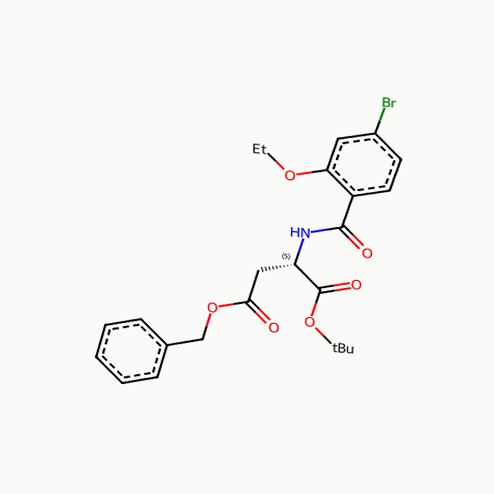 CCOc1cc(Br)ccc1C(=O)N[C@@H](CC(=O)OCc1ccccc1)C(=O)OC(C)(C)C